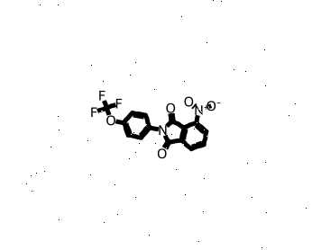 O=C1c2cccc([N+](=O)[O-])c2C(=O)N1c1ccc(OC(F)(F)F)cc1